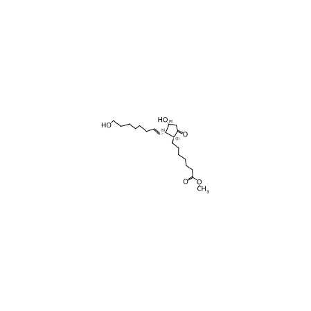 COC(=O)CCCCCC[C@@H]1C(=O)C[C@@H](O)[C@H]1C=CCCCCCCO